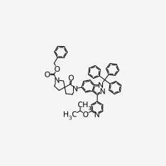 CC(C)Oc1cc(-c2nn(C(c3ccccc3)(c3ccccc3)c3ccccc3)c3ccc(N4CCC5(CCN(C(=O)OCc6ccccc6)C5)C4=O)cc23)ccn1